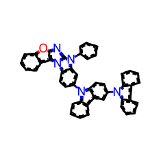 c1ccc(-n2c3cc(-n4c5ccccc5c5cc(-n6c7ccccc7c7ccccc76)ccc54)ccc3n3c4c(nc23)oc2ccccc24)cc1